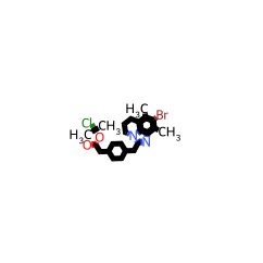 Cc1c(Br)c(C)c2nc(CC3CCC(CC(=O)OC(C)(C)Cl)CC3)n3c2c1CCC3